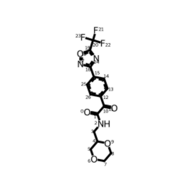 O=C(NCC1COCCO1)C(=O)c1ccc(-c2noc(C(F)(F)F)n2)cc1